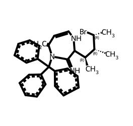 C=C1C=CNC([C@H](C)[C@@H](C)[C@@H](C)Br)C(=N)N1C(c1ccccc1)(c1ccccc1)c1ccccc1